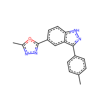 Cc1ccc(-c2n[nH]c3ccc(-c4nnc(C)o4)cc23)cc1